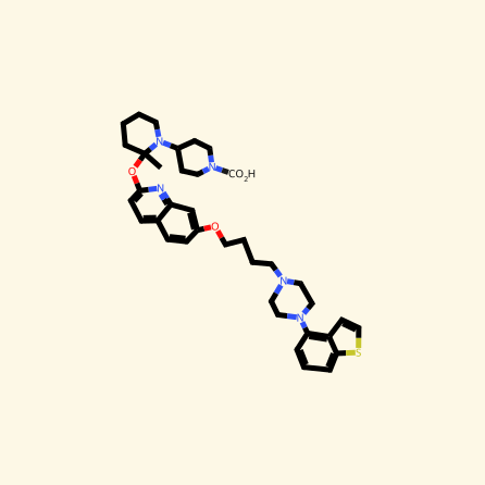 CC1(Oc2ccc3ccc(OCCCCN4CCN(c5cccc6sccc56)CC4)cc3n2)CCCCN1C1CCN(C(=O)O)CC1